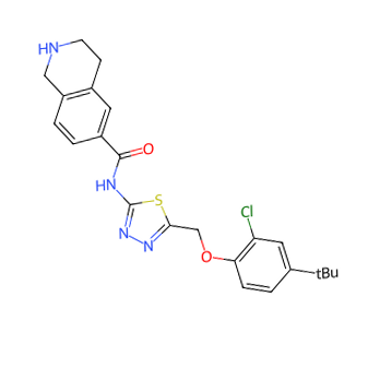 CC(C)(C)c1ccc(OCc2nnc(NC(=O)c3ccc4c(c3)CCNC4)s2)c(Cl)c1